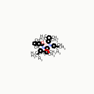 CC(C)(C)c1ccc(N2c3cc4c(cc3B3c5oc6cc7c(cc6c5N(c5ccc(C(C)(C)C)cc5-c5ccccc5)c5cc(C(C)(C)C)cc2c53)C2(C)CCC7(C)C2)C(C)(C)CCC4(C)C)cc1